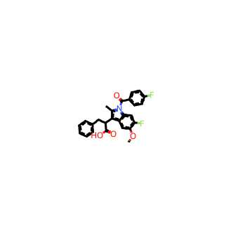 COc1cc2c(C(Cc3ccccc3)C(=O)O)c(C)n(C(=O)c3ccc(F)cc3)c2cc1F